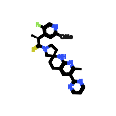 COc1cc([C@@H](C)C(=S)N2CC[C@@]3(CCc4cc(-c5ncccn5)c(C)nc4N3)C2)c(F)cn1